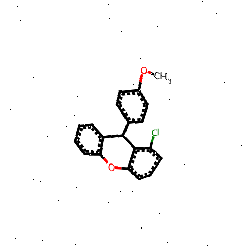 COc1ccc(C2c3ccccc3Oc3cccc(Cl)c32)cc1